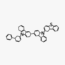 C1=CC(c2ccccc2)CC(n2c3c(c4c2=CCC(C2=CC5c6ccccc6N(C6=CC=C7Sc8ccccc8C7C6)C5C=C2)C=4)C=CCC3)=C1